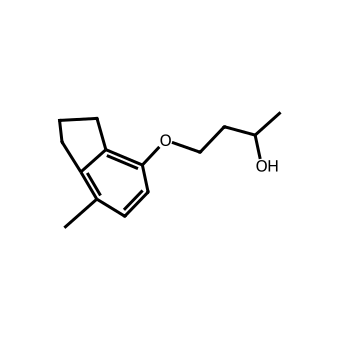 Cc1ccc(OCCC(C)O)c2c1CCC2